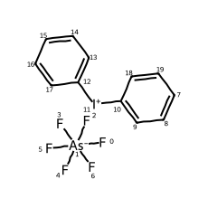 F[As-](F)(F)(F)(F)F.c1ccc([I+]c2ccccc2)cc1